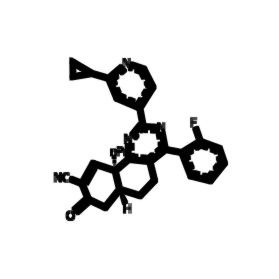 CCC[C@@]12C=C(C#N)C(=O)C[C@H]1CCc1c(-c3ccccc3F)nc(-c3ccnc(C4CC4)c3)nc12